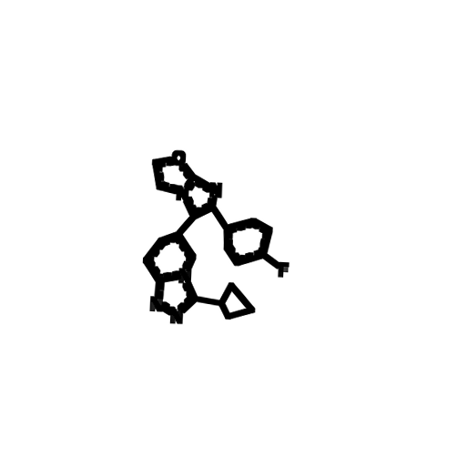 Fc1ccc(-c2nc3occn3c2-c2ccc3nnc(C4CCC4)n3c2)cc1